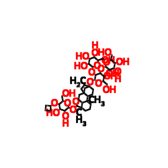 C=C1CC23CCC4C(C)(C(=O)OC5OC(CO)C(OC6CCC6)C(O)C5O)CCCC4(C)C2CCC1(OC1OC(CO)C(O)C(OC2OC(CO)C(O)C(O)C2O)C1OC1OC(CO)C(O)C(O)C1O)C3